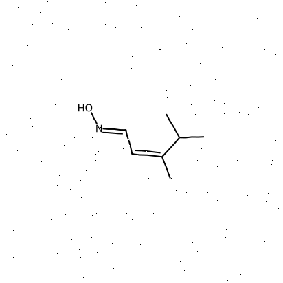 CC(=CC=NO)C(C)C